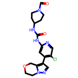 O=CN1CCC(NC(=O)Nc2cc(-c3cnn4c3COCC4)c(Cl)cn2)CC1